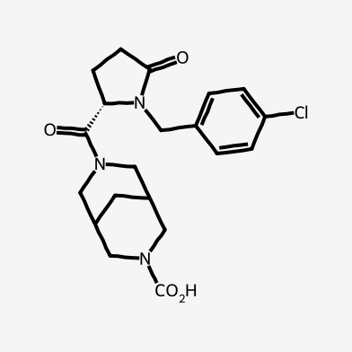 O=C(O)N1CC2CC(C1)CN(C(=O)[C@@H]1CCC(=O)N1Cc1ccc(Cl)cc1)C2